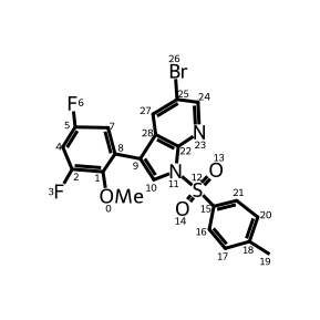 COc1c(F)cc(F)cc1-c1cn(S(=O)(=O)c2ccc(C)cc2)c2ncc(Br)cc12